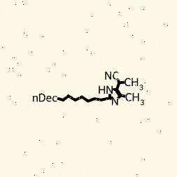 CCCCCCCCCCCCCCCCCc1nc(C)c(C(C)C#N)[nH]1